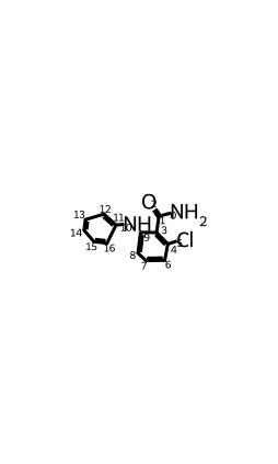 NC(=O)c1c(Cl)cccc1Nc1ccccc1